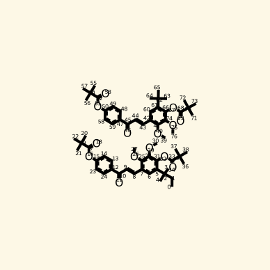 CCC(C)(C)c1cc(C=CC(=O)c2ccc(OC(=O)C(C)(C)C)cc2)c(OC)c(OC)c1OC(=O)C(C)(C)C.COc1c(C=CC(=O)c2ccc(OC(=O)C(C)(C)C)cc2)cc(C(C)(C)C)c(OC(=O)C(C)(C)C)c1OC